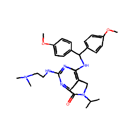 COc1ccc(C(Nc2nc(NCCN(C)C)nc3c2CN(C(C)C)C3=O)c2ccc(OC)cc2)cc1